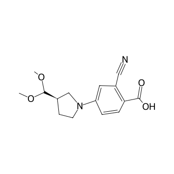 COC(OC)[C@@H]1CCN(c2ccc(C(=O)O)c(C#N)c2)C1